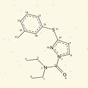 CCN(CC)C(=O)n1ccc(Sc2cccc(C)c2)n1